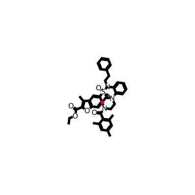 CCOC(=O)c1oc2ccc(S(=O)(=O)N(CCc3ccccc3)c3ccccc3N3CCN(C(=O)c4c(C)cc(C)cc4C)CC3)cc2c1C